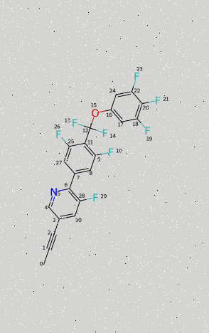 CC#Cc1cnc(-c2cc(F)c(C(F)(F)Oc3cc(F)c(F)c(F)c3)c(F)c2)c(F)c1